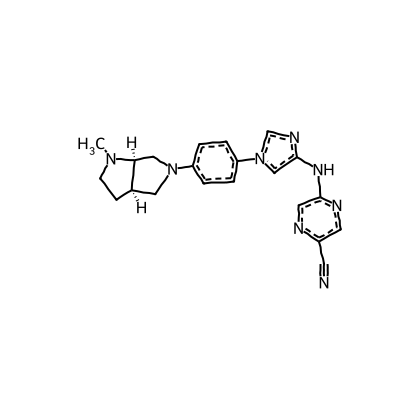 CN1CC[C@@H]2CN(c3ccc(-n4cnc(Nc5cnc(C#N)cn5)c4)cc3)C[C@@H]21